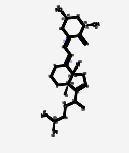 C=C1/C(=C\C=C2/CCC[C@]3(C)C(C(C)OC[C@@H](O)C(C)C)=CC[C@@H]23)C[C@@H](O)C[C@@H]1O